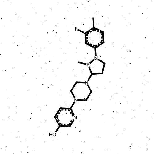 CB1C(N2CCN(c3ccc(O)cn3)CC2)CCN1c1ccc(C)c(F)c1